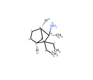 CCC1(CC)[C@H]2CC[C@H](C2)[C@@]1(C)N